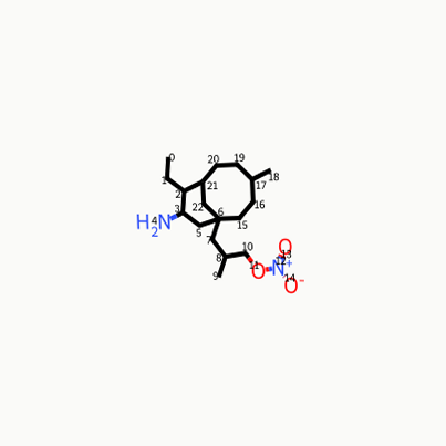 CCC1C(N)CC2(CC(C)CO[N+](=O)[O-])CCC(C)CCC1C2